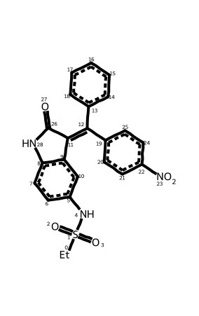 CCS(=O)(=O)Nc1ccc2c(c1)/C(=C(/c1ccccc1)c1ccc([N+](=O)[O-])cc1)C(=O)N2